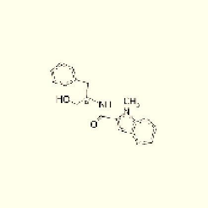 Cn1c(C(=O)N[C@H](CO)Cc2ccccc2)cc2ccccc21